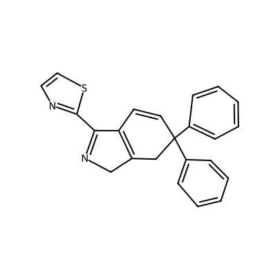 C1=CC(c2ccccc2)(c2ccccc2)CC2=C1C(c1nccs1)=NC2